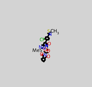 CSc1ncc2cc(-c3ccc(-c4csc(C)n4)cc3Cl)c(=O)n(C[C@H]3OC[C@@H](N4C(=O)c5ccccc5C4=O)CO3)c2n1